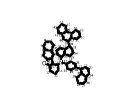 c1ccc2cc3c(cc2c1)oc1cccc(N(c2ccc(-c4cccc5ccccc45)cc2)c2cccc4c(-c5cc6ccccc6c6ccccc56)cccc24)c13